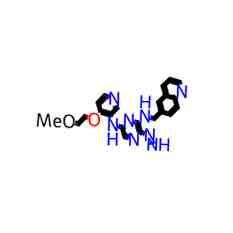 COCCOc1ccncc1Nc1cnc(N=N)c(NCc2ccc3ncccc3c2)n1